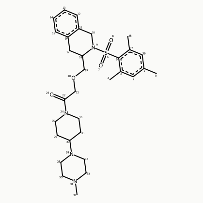 Cc1cc(C)c(S(=O)(=O)N2Cc3ccccc3CC2COCC(=O)N2CCC(N3CCN(C)CC3)CC2)c(C)c1